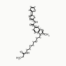 CCC(=O)NCCOCCOCCn1c(C)nc2cc(C(=O)Nc3nnc(-c4ccco4)s3)ccc21